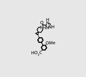 COc1ccc(C(=O)O)cc1-c1ccc([C@H]2CC23CCN(C(=O)C2NCNN2)CC3)cc1